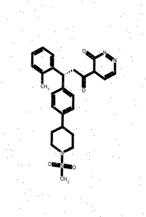 Cc1ccccc1[C@H](CC(=O)C1C=CN=NC1=O)c1ccc(C2CCN(S(C)(=O)=O)CC2)cc1